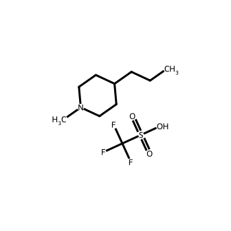 CCCC1CCN(C)CC1.O=S(=O)(O)C(F)(F)F